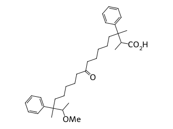 COC(C)C(C)(CCCCCC(=O)CCCCCC(C)(c1ccccc1)C(C)C(=O)O)c1ccccc1